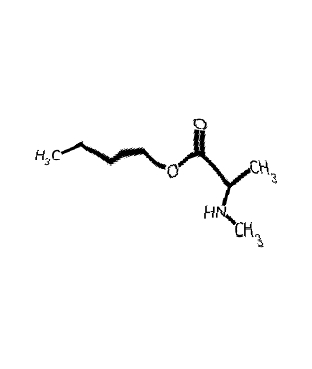 CCCCOC(=O)C(C)NC